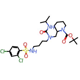 CC(C)NC(=O)N(CCCCNS(=O)(=O)c1ccc(Cl)cc1Cl)CC1CCCCN1C(=O)OC(C)(C)C